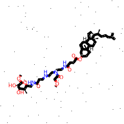 COCC(=O)N(CCNCCC(=O)NCC1OC(OC)[C@@H](O)[C@H](O)[C@@H]1C)CCNC(=O)CCC(=O)OC1CC[C@]2(C)C(=CC[C@@H]3[C@H]4CC[C@@H]([C@@H](C)CCCC(C)C)[C@]4(C)CC[C@H]32)C1